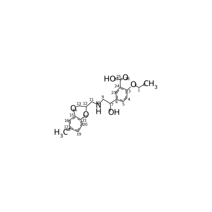 CCOc1ccc(C(O)CNCC2COc3cc(C)ccc3O2)cc1C(=O)O